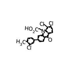 Cc1ccc(-c2ccc3c(=O)c4ccc(Cl)c(Cl)c4n(CC(=O)O)c3c2)cc1Cl